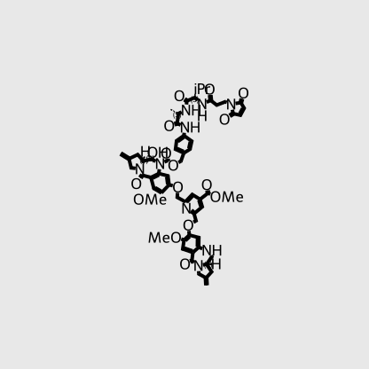 C=C1C[C@H]2CNc3cc(OCc4cc(C(=O)OC)cc(COc5cc6c(cc5OC)C(=O)N5CC(=C)C[C@H]5[C@H](O)N6C(=O)OCc5ccc(NC(=O)[C@H](C)NC(=O)[C@@H](NC(=O)CCN6C(=O)C=CC6=O)C(C)C)cc5)n4)c(OC)cc3C(=O)N2C1